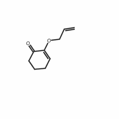 C=CCOC1=CCCCC1=O